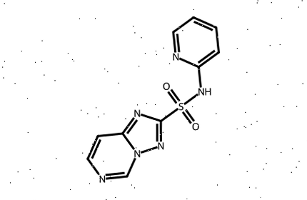 O=S(=O)(Nc1ccccn1)c1nc2ccncn2n1